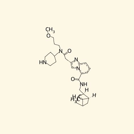 COCCCN(C(=O)Cc1cn2c(C(=O)NC[C@@H]3CCC4C[C@H]3C4(C)C)cccc2n1)C1CCNCC1